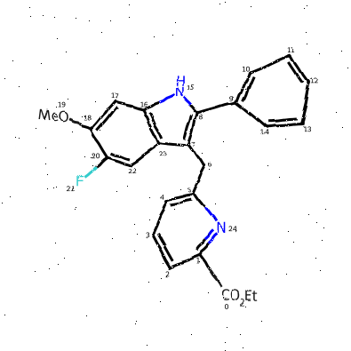 CCOC(=O)c1cccc(Cc2c(-c3ccccc3)[nH]c3cc(OC)c(F)cc23)n1